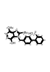 CCCCc1nc2c(OC(C)=O)nnc(O)c2n1Cc1ccc(-c2ccccc2C(=O)O)cc1